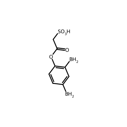 Bc1ccc(OC(=O)CS(=O)(=O)O)c(B)c1